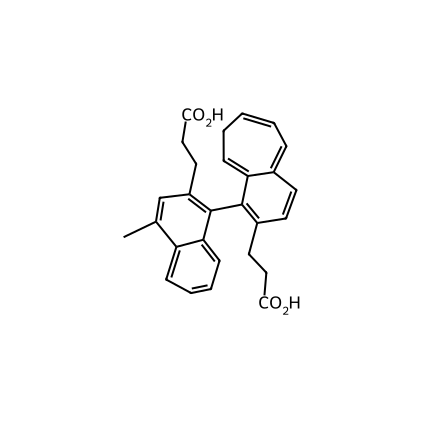 Cc1cc(CCC(=O)O)c(-c2c(CCC(=O)O)ccc3c2=CCC=CC=3)c2ccccc12